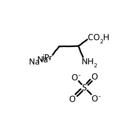 CC(C)CC(N)C(=O)O.O=S(=O)([O-])[O-].[Na+].[Na+]